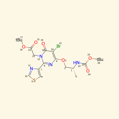 C[C@H](COc1nc(-c2cscn2)n(CC(=O)OC(C)(C)C)c(=O)c1Br)NC(=O)OC(C)(C)C